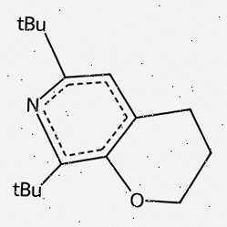 CC(C)(C)c1cc2c(c(C(C)(C)C)n1)OCCC2